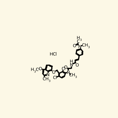 COc1cc(C)nc2c(OCc3c(Cl)ccc(N(C)C(=O)CNC(=O)C=Cc4ccc(N(C)C(C)=O)cc4)c3Cl)cccc12.Cl